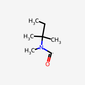 CCC(C)(C)N(C)[C]=O